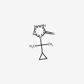 CC(C)(C1CC1)n1nn[nH]c1=O